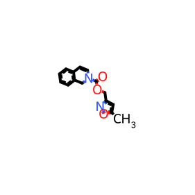 Cc1cc(COC(=O)N2C=Cc3ccccc3C2)no1